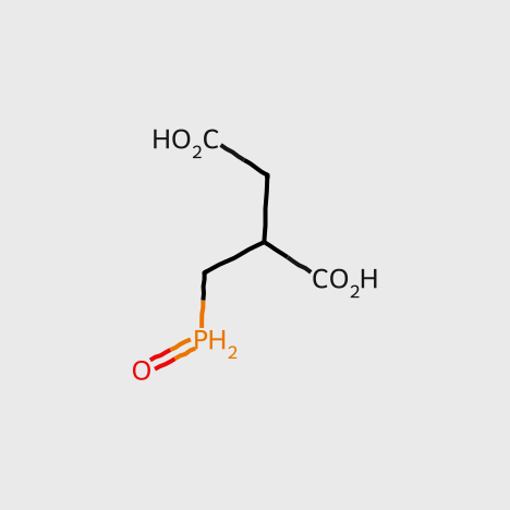 O=[PH2]CC(CC(=O)O)C(=O)O